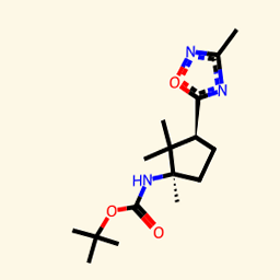 Cc1noc([C@H]2CC[C@@](C)(NC(=O)OC(C)(C)C)C2(C)C)n1